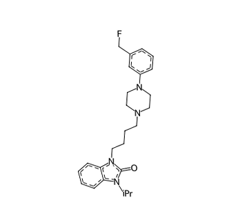 CC(C)n1c(=O)n(CCCCN2CCN(c3cccc(CF)c3)CC2)c2ccccc21